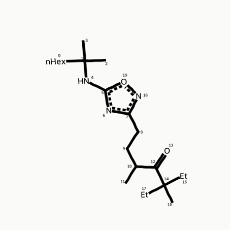 CCCCCCC(C)(C)Nc1nc(CCC(C)C(=O)C(C)(CC)CC)no1